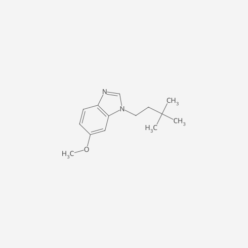 COc1ccc2ncn(CCC(C)(C)C)c2c1